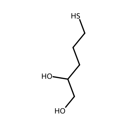 OCC(O)CCCS